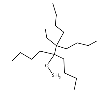 CCCCC(CC)(CCCC)C(CCCC)(CCCC)O[SiH3]